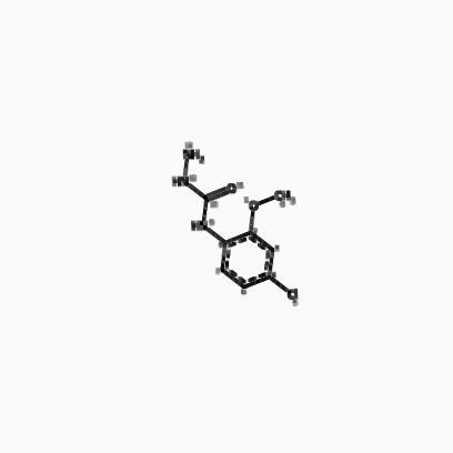 COc1cc(Cl)ccc1NC(=O)NN